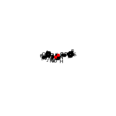 NC(=O)C(Oc1ccc2c(c1)OC(F)(F)O2)C12CCC(NC(=O)COc3ccc(F)c(F)c3)(CC1)CC2O